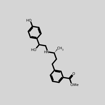 COC(=O)c1cccc(CC[C@@H](C)NCC(O)c2ccc(O)cc2)c1